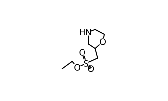 CCOS(=O)(=O)CC1CNCCO1